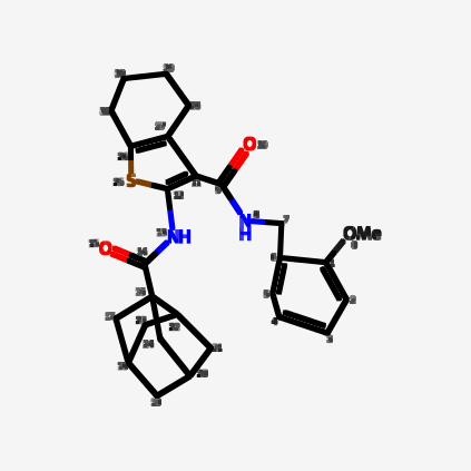 COc1ccccc1CNC(=O)c1c(NC(=O)C23CC4CC(CC2C4)C3)sc2c1CCCC2